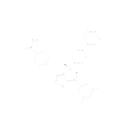 C[C@@]1(c2ccc(-c3cncnc3)cc2)C(=O)N(c2cc(Cl)cc(Cl)c2)c2ncc(S(=O)(=O)N3CCN(C(N)=O)CC3)n21